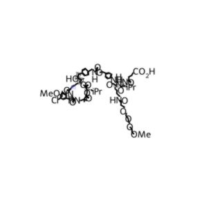 COCCOCCOCCOCCC(=O)NCCCC[C@H](NC(=O)[C@@H](NC(=O)CCCC(=O)O)C(C)C)C(=O)Nc1ccc(COC(=O)NCc2ccc([C@@H](C)[C@H](O)[C@@H](C)[C@@H]3C/C=C/C(=O)N[C@H](Cc4ccc(OC)c(Cl)c4)C(=O)NCC(C)(C)C(=O)O[C@@H](CC(C)C)C(=O)O3)cc2)cc1